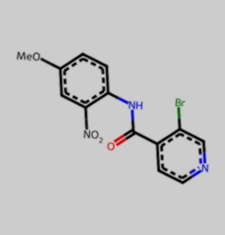 COc1ccc(NC(=O)c2ccncc2Br)c([N+](=O)[O-])c1